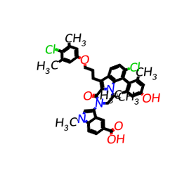 Cc1cc(OCCCc2c3n(c4c(-c5c(C)cc(O)cc5C)c(Cl)ccc24)[C@H](C)CN(C2=CN(C)C4C=CC(C(=O)O)=CC24)C3=O)cc(C)c1Cl